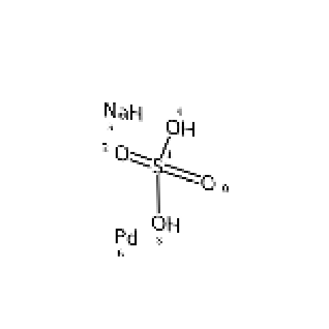 O=S(=O)(O)O.[NaH].[Pd]